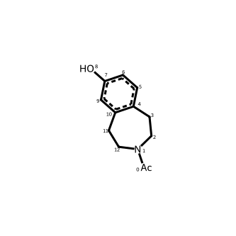 CC(=O)N1CCc2ccc(O)cc2CC1